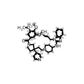 CC=CCn1c(NC2CCN(CCC3(c4ccncc4)CCN(C(=O)c4cc(OC)c(OC)c(OC)c4)C3)CC2)nc2ccccc21